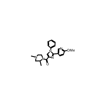 COc1ccc(-c2nc(C(=O)N3CCN(C)CC3C)cn2-c2ccccc2)cn1